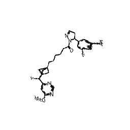 COc1cc(C(F)C23CC(CCCCCC(=O)N4N=CCC4c4cc(F)cc(F)c4)(C2)C3)ncn1